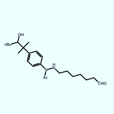 CCCCC(O)C(C)(C)c1ccc(N(NCCCCCCC=O)C(C)=O)cc1